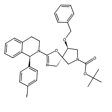 CC(C)(C)OC(=O)N1C[C@H](OCc2ccccc2)[C@@]2(CN=C(N3CCc4ccccc4[C@@H]3c3ccc(F)cc3)O2)C1